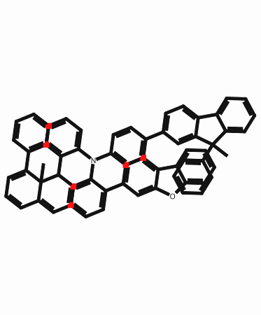 CC1(c2ccccc2)c2ccccc2-c2ccc(-c3ccc(N(c4ccccc4-c4ccc5c(c4)oc4ccccc45)c4ccccc4C4C=CC=C5C=CC=C(c6ccccc6)C54C)cc3)cc21